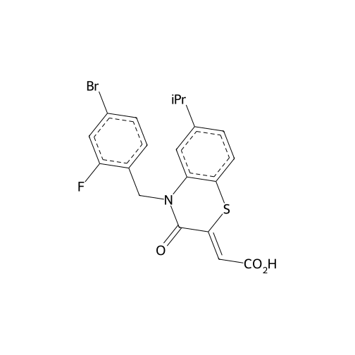 CC(C)c1ccc2c(c1)N(Cc1ccc(Br)cc1F)C(=O)C(=CC(=O)O)S2